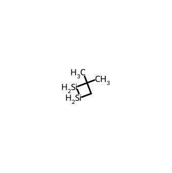 CC1(C)C[SiH2][SiH2]1